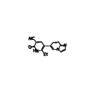 CCc1[nH]c(=O)c(C#N)cc1-c1ccc2nccn2c1